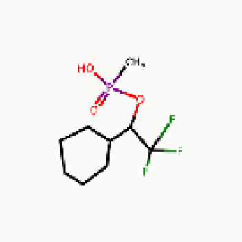 CP(=O)(O)OC(C1CCCCC1)C(F)(F)F